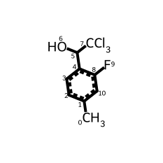 Cc1ccc(C(O)C(Cl)(Cl)Cl)c(F)c1